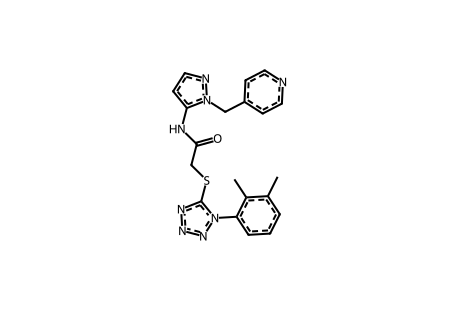 Cc1cccc(-n2nnnc2SCC(=O)Nc2ccnn2Cc2ccncc2)c1C